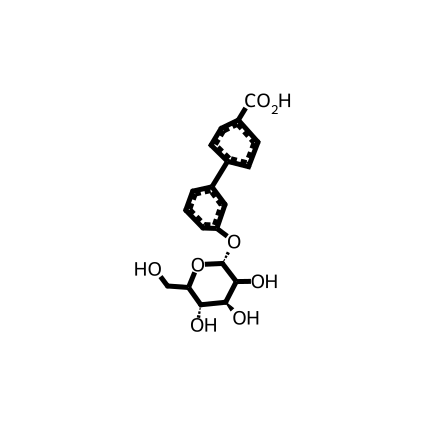 O=C(O)c1ccc(-c2cccc(O[C@H]3OC(CO)[C@@H](O)[C@H](O)C3O)c2)cc1